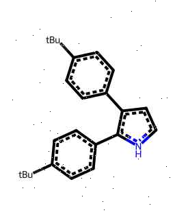 CC(C)(C)c1ccc(-c2cc[nH]c2-c2ccc(C(C)(C)C)cc2)cc1